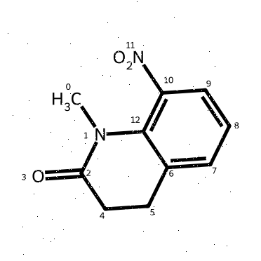 CN1C(=O)CCc2cccc([N+](=O)[O-])c21